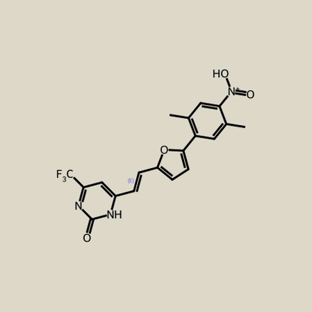 Cc1cc([N+](=O)O)c(C)cc1-c1ccc(/C=C/c2cc(C(F)(F)F)nc(=O)[nH]2)o1